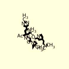 CC(=O)c1nn(CC(=O)N2C3C[C@]3(C)C[C@H]2C(=O)c2cc(CCN(C)C)ccn2)c2c(C)nc(-c3cnc(C)nc3)cc12